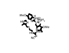 CN/C(=N/C#N)NCCSCc1nc[nH]c1C.COc1ccc2[nH]c([S+]([O-])Cc3ncc(C)c(OC)c3C)nc2c1.Cl.[MgH2]